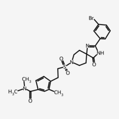 Cc1cc(C(=O)N(C)C)ccc1CCS(=O)(=O)N1CCC2(CC1)N=C(c1cccc(Br)c1)NC2=O